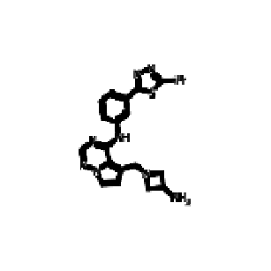 CC(C)c1nnc(-c2cccc(Nc3ncnn4ccc(CN5CC(N)C5)c34)c2)s1